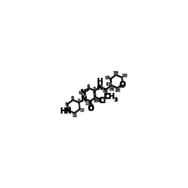 C[C@H](Nc1cnn(C2CCNCC2)c(=O)c1Cl)[C@H]1CCCOC1